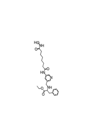 CCOC(=O)C(Cc1ccccc1)NCc1cncc(NC(=O)CCCCCCC(=O)NO)c1